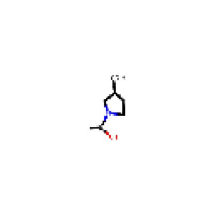 CB(O)N1CCC(C(=O)O)C1